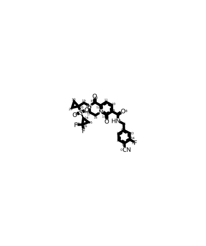 N#Cc1ccc(CNC(=O)c2ccc3n(c2=O)CCN(CC2(S(=O)(=O)[C@H]4CC4(F)F)CC2)C3=O)cc1F